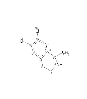 CC1NCCc2cc(Cl)c(Cl)cc21